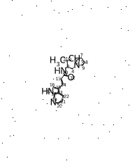 CC(C)[C@@H](CN1CCCC1)NC(=O)/C=C/c1c[nH]c2ncccc12